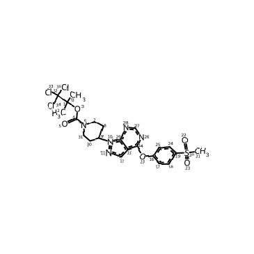 CC(C)(OC(=O)N1CCC(n2ncc3c(Oc4ccc(S(C)(=O)=O)cc4)ncnc32)CC1)C(Cl)(Cl)Cl